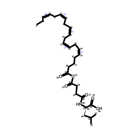 CC/C=C\C/C=C\C/C=C\C/C=C\C/C=C\CCCC(=O)OC(=O)CCC(=O)N[C@@H](CC(C)C)C(=O)O